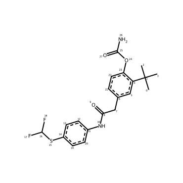 CC(C)(C)c1cc(CC(=O)Nc2ccc(SC(F)F)cc2)ccc1OC(N)=O